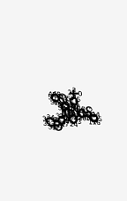 CC(C)(C)c1ccc(Nc2cc3sc4ccccc4c3cc2-c2ccc3c4cc5oc6ccccc6c5cc4n4c3c2Bc2cc3oc5ccccc5c3cc2-4)cc1